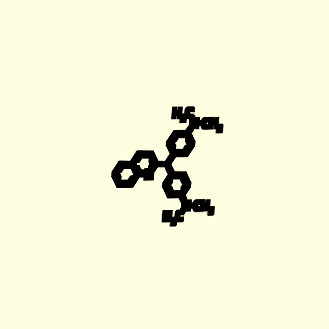 CN(C)c1ccc(C(c2ccc(N(C)C)cc2)c2ccc3ccccc3n2)cc1